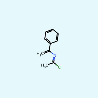 C=C(/N=C(\C)Cl)c1ccccc1